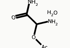 CC(=O)OC(N)C(N)=O.O